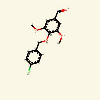 COc1cc([C]=O)cc(OC)c1OCc1ccc(Cl)cc1